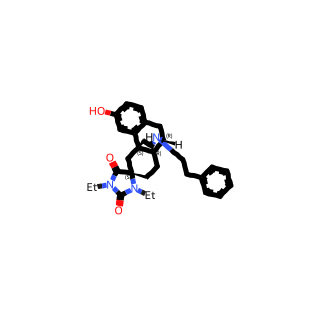 CCN1C(=O)N(CC)[C@]2(CC[C@H]3[C@H]4Cc5ccc(O)cc5[C@@]3(CCN4CCc3ccccc3)C2)C1=O